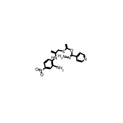 C=C(CSC(=C)O/C(=N\N)c1ccncc1)Nc1ccc([N+](=O)[O-])cc1N